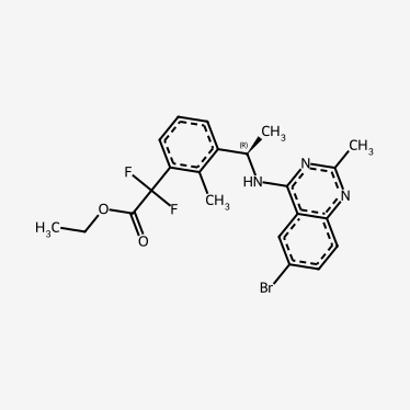 CCOC(=O)C(F)(F)c1cccc([C@@H](C)Nc2nc(C)nc3ccc(Br)cc23)c1C